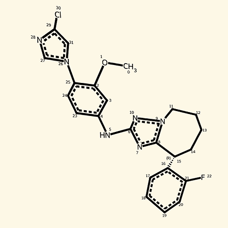 COc1cc(Nc2nc3n(n2)CCCC[C@@H]3c2ccccc2F)ccc1-n1cnc(Cl)c1